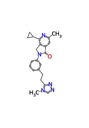 Cc1cc2c(c(C3CC3)n1)CN(c1cccc(CCc3nncn3C)c1)C2=O